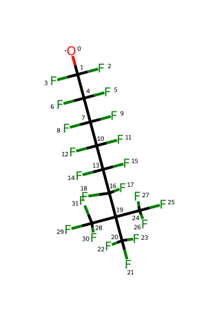 [O]C(F)(F)C(F)(F)C(F)(F)C(F)(F)C(F)(F)C(F)(F)C(C(F)(F)F)(C(F)(F)F)C(F)(F)F